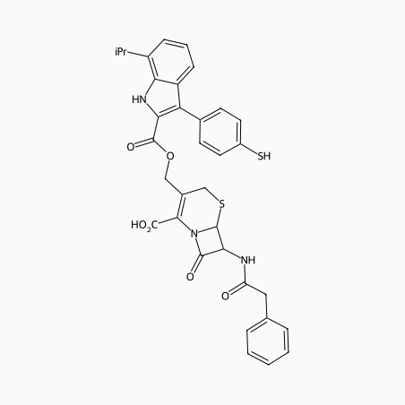 CC(C)c1cccc2c(-c3ccc(S)cc3)c(C(=O)OCC3=C(C(=O)O)N4C(=O)C(NC(=O)Cc5ccccc5)C4SC3)[nH]c12